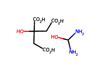 NC(N)O.O=C(O)CC(O)(CC(=O)O)C(=O)O